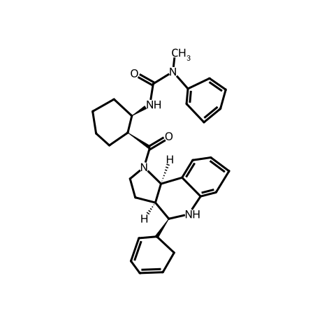 CN(C(=O)N[C@@H]1CCCC[C@@H]1C(=O)N1CC[C@@H]2[C@H](C3C=CC=CC3)Nc3ccccc3[C@@H]21)c1ccccc1